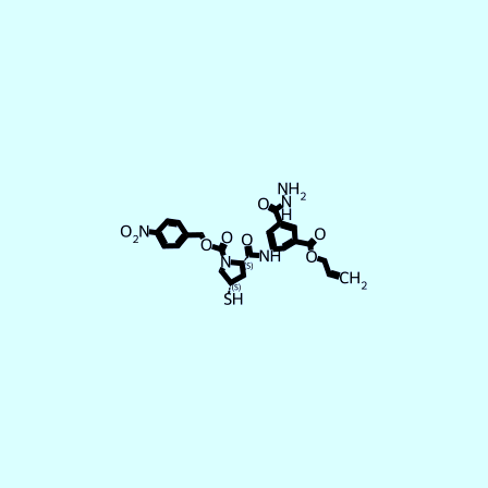 C=CCOC(=O)c1cc(NC(=O)[C@@H]2C[C@H](S)CN2C(=O)OCc2ccc([N+](=O)[O-])cc2)cc(C(=O)NN)c1